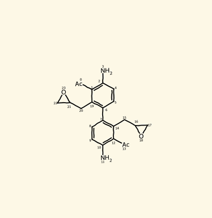 CC(=O)c1c(N)ccc(-c2ccc(N)c(C(C)=O)c2CC2CO2)c1CC1CO1